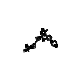 CCCC(=O)NCCCCNc1nc2cc(N3CCOCC3)ccc2n2c(C)nnc12